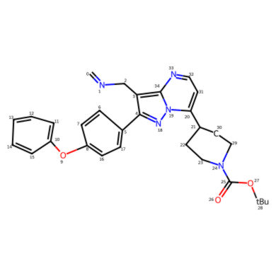 C=NCc1c(-c2ccc(Oc3ccccc3)cc2)nn2c(C3CCN(C(=O)OC(C)(C)C)CC3)ccnc12